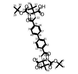 CC(C)(C)OC(=O)N[C@](CC(=O)c1ccc(-c2ccc(C(=O)C[C@@](NC(=O)OC(C)(C)C)(C(=O)O)C(C)(C)C)cc2)cc1)(C(=O)O)C(C)(C)C